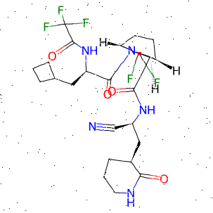 N#C[C@H](C[C@@H]1CCCNC1=O)NC(=O)[C@@H]1[C@H]2CC[C@H](CC2(F)F)N1C(=O)[C@@H](CC1CCC1)NC(=O)C(F)(F)F